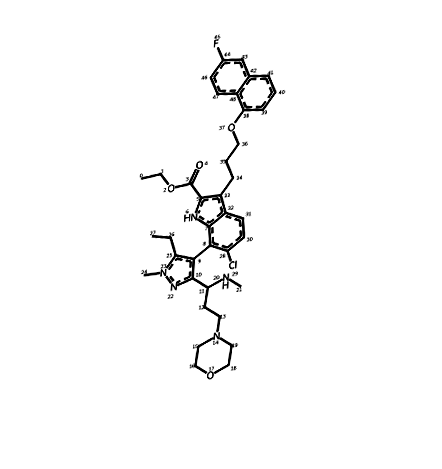 CCOC(=O)c1[nH]c2c(-c3c(C(CCN4CCOCC4)NC)nn(C)c3CC)c(Cl)ccc2c1CCCOc1cccc2cc(F)ccc12